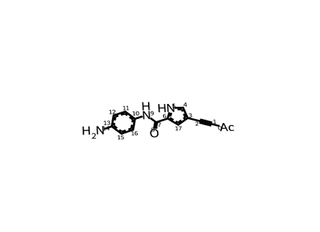 CC(=O)C#Cc1c[nH]c(C(=O)Nc2ccc(N)cc2)c1